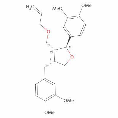 C=CCOC[C@H]1[C@@H](Cc2ccc(OC)c(OC)c2)CO[C@@H]1c1ccc(OC)c(OC)c1